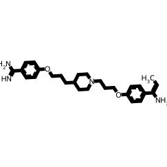 C/C=C(/N)c1ccc(OCCCN2CCC(CCCOc3ccc(C(=N)N)cc3)CC2)cc1